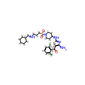 Nc1nc(NC2CCN(S(=O)(=O)CCCNCC3CCCCC3)CC2)sc1C(=O)c1c(F)cccc1F